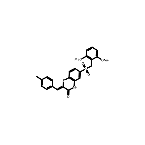 COc1cccc(OC)c1CS(=O)(=O)c1ccc2c(c1)NC(=O)/C(=C/c1ccc(C)cc1)S2